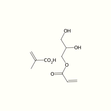 C=C(C)C(=O)O.C=CC(=O)OCC(O)CO